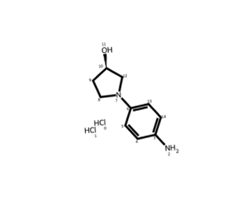 Cl.Cl.Nc1ccc(N2CC[C@@H](O)C2)cc1